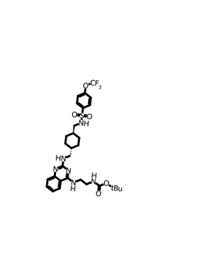 CC(C)(C)OC(=O)NCCNc1nc(NC[C@H]2CC[C@H](CNS(=O)(=O)c3ccc(OC(F)(F)F)cc3)CC2)nc2ccccc12